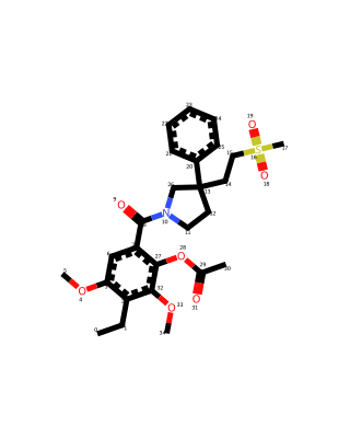 CCc1c(OC)cc(C(=O)N2CCC(CCS(C)(=O)=O)(c3ccccc3)C2)c(OC(C)=O)c1OC